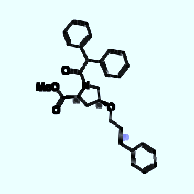 COC(=O)[C@@H]1C[C@H](OC/C=C/c2ccccc2)CN1C(=O)C(c1ccccc1)c1ccccc1